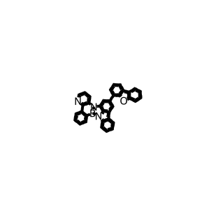 c1ccc2c(c1)B1N(c3cccnc3-2)c2cc(-c3cccc4c3oc3ccccc34)cc3c4ccccc4n1c23